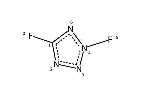 Fc1nnn(F)n1